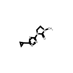 CN1CCN(c2nnc(C3CC3)s2)C1=O